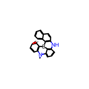 CN1c2cccc3c2B(c2c(ccc4ccccc24)N3)c2c1ccc1ccccc21